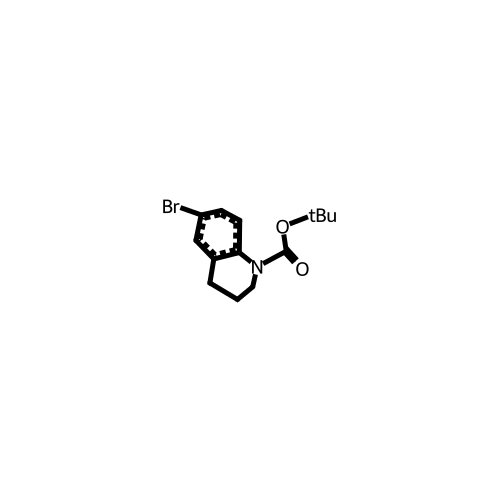 CC(C)(C)OC(=O)N1CCCc2cc(Br)ccc21